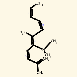 C=C(C)\C=C/C(=C(C)/C=C\C=C/C)N(C)C